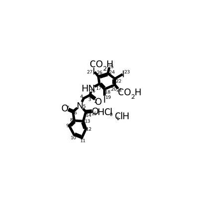 Cl.Cl.O=C(CN1C(=O)c2ccccc2C1=O)Nc1c(I)c(C(=O)O)c(I)c(C(=O)O)c1I